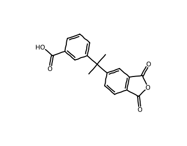 CC(C)(c1cccc(C(=O)O)c1)c1ccc2c(c1)C(=O)OC2=O